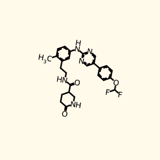 Cc1ccc(Nc2ncc(-c3ccc(OC(F)F)cc3)cn2)cc1CCNC(=O)C1CCC(=O)NC1